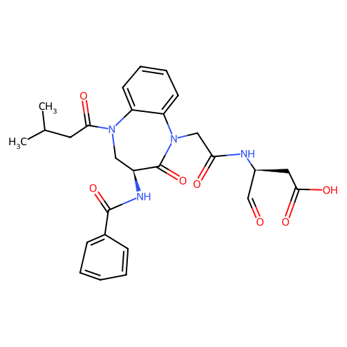 CC(C)CC(=O)N1C[C@H](NC(=O)c2ccccc2)C(=O)N(CC(=O)N[C@H](C=O)CC(=O)O)c2ccccc21